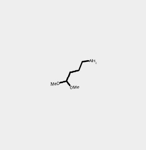 COC(CC[CH2][AlH2])OC